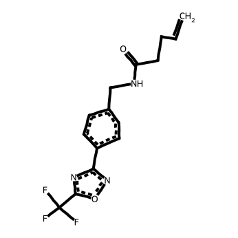 C=CCCC(=O)NCc1ccc(-c2noc(C(F)(F)F)n2)cc1